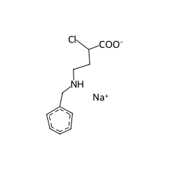 O=C([O-])C(Cl)CCNCc1ccccc1.[Na+]